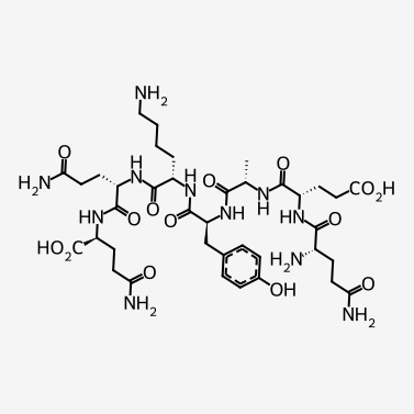 C[C@H](NC(=O)[C@H](CCC(=O)O)NC(=O)[C@@H](N)CCC(N)=O)C(=O)N[C@@H](Cc1ccc(O)cc1)C(=O)N[C@@H](CCCCN)C(=O)N[C@@H](CCC(N)=O)C(=O)N[C@@H](CCC(N)=O)C(=O)O